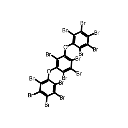 Brc1c(Br)c(Br)c(Oc2c(Br)c(Br)c(Br)c(Oc3c(Br)c(Br)c(Br)c(Br)c3Br)c2Br)c(Br)c1Br